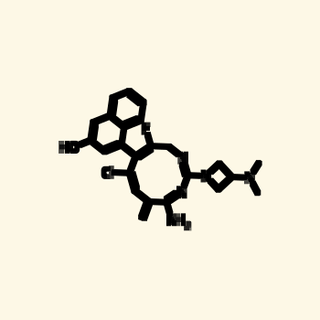 C=C1/C=C(Cl)\C(c2cc(O)cc3ccccc23)=C(\F)C/N=C(N2CC(N(C)C)C2)\N=C/1N